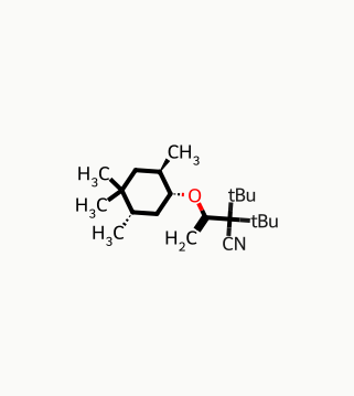 C=C(O[C@@H]1C[C@H](C)C(C)(C)C[C@H]1C)C(C#N)(C(C)(C)C)C(C)(C)C